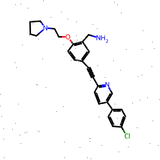 NCc1cc(C#Cc2ccc(-c3ccc(Cl)cc3)cn2)ccc1OCCN1CCCC1